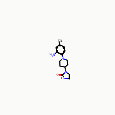 N#Cc1ccc(N2CCC(N3CCNC3=O)CC2)c(N)c1